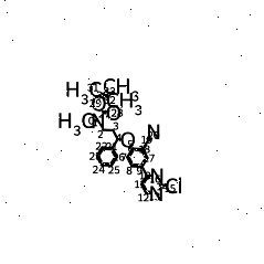 CN(CCC(Oc1ccc(-c2ccnc(Cl)n2)cc1C#N)c1ccccc1)C(=O)OC(C)(C)C